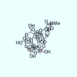 CNN1C(=O)CC(N2CCN(CC3OC4OC5C(CO)OC(OC6C(CO)OC(OC7C(CO)OC(OC8CC(O)(O)C(OC(OCCO)OC3C(O)C4O)OC8CO)C(O)C7O)C(O)C6O)C(O)C5O)CC2)C1=O